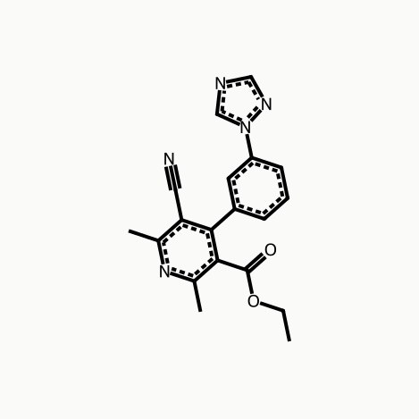 CCOC(=O)c1c(C)nc(C)c(C#N)c1-c1cccc(-n2cncn2)c1